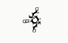 C[N+]1(CCCl)CC[N+](C)(CCCl)CC1.[Cl-].[Cl-]